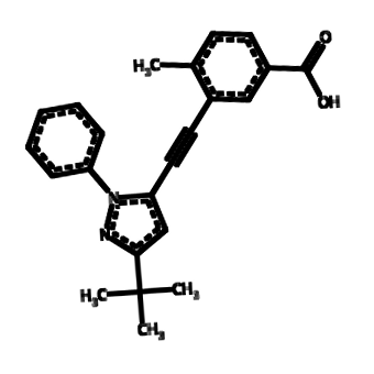 Cc1ccc(C(=O)O)cc1C#Cc1cc(C(C)(C)C)nn1-c1ccccc1